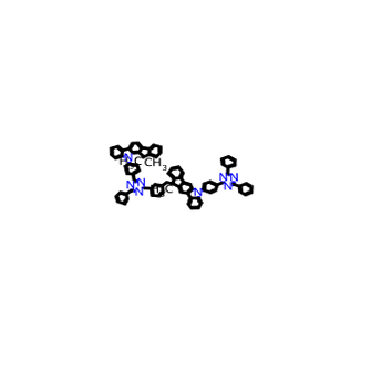 CC1(C)c2ccccc2-c2ccc3c4ccccc4n(-c4ccc(-c5nc(-c6ccccc6)nc(-c6cccc(CC7(C)c8ccccc8-c8cc9c(cc87)c7ccccc7n9-c7ccc(-c8nc(-c9ccccc9)nc(-c9ccccc9)n8)cc7)c6)n5)cc4)c3c21